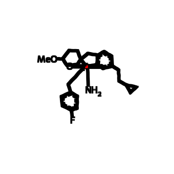 COC1CCC2(CC1)Cc1ccc(CCC3CC3)cc1C21N=C(N)N(Cc2ccc(F)cc2)C1=O